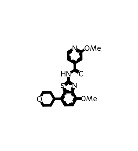 COc1cc(C(=O)Nc2nc3c(OC)ccc(C4CCOCC4)c3s2)ccn1